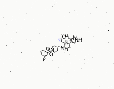 C/C=C\c1nc(-c2cn[nH]c2)ccc1NCC1CCN(S(=O)(=O)c2cccc(F)c2)CC1